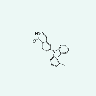 Cc1cccc2c1c1ccccc1n2-c1ccc2c(=O)[nH]ccc2c1